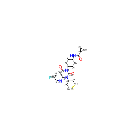 O=C(N[C@H]1CC[C@@H](n2c(=O)c3cc(F)cnc3n(C3CCSCC3)c2=O)CC1)C1CC1